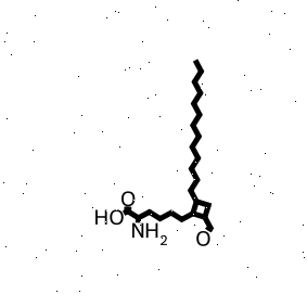 CCCCCCCCCCCCCC1CC(C=O)C1CCCCC(N)C(=O)O